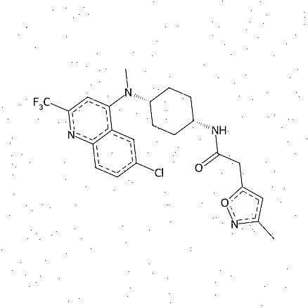 Cc1cc(CC(=O)N[C@H]2CC[C@@H](N(C)c3cc(C(F)(F)F)nc4ccc(Cl)cc34)CC2)on1